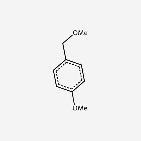 COc1ccc(CO[1C])cc1